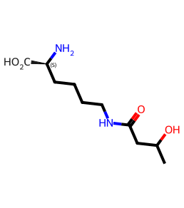 CC(O)CC(=O)NCCCC[C@H](N)C(=O)O